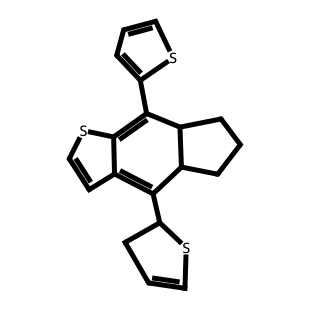 C1=CSC(C2=c3ccsc3=C(c3cccs3)C3CCCC23)C1